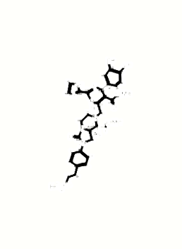 COC[C@@H]1[C@H]2CN(c3ccc(CCC(=O)O)cc3)C(=O)N2CCN1CC1=C(C(=O)OC)[C@H](c2ccc(F)c(F)c2)N=C(c2nccs2)N1